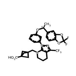 C[C@H](Oc1cccc(-n2nc(C(F)(F)F)c3c2N(CC24CC(C(=O)O)(C2)C4)CCC3)c1)c1ccc2c(c1)OC(F)(F)O2